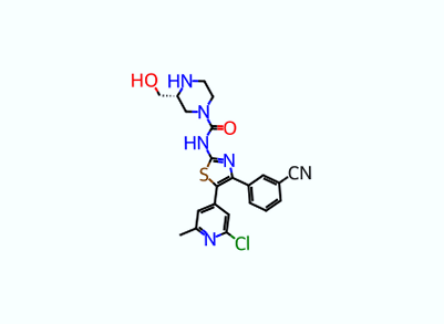 Cc1cc(-c2sc(NC(=O)N3CCN[C@@H](CO)C3)nc2-c2cccc(C#N)c2)cc(Cl)n1